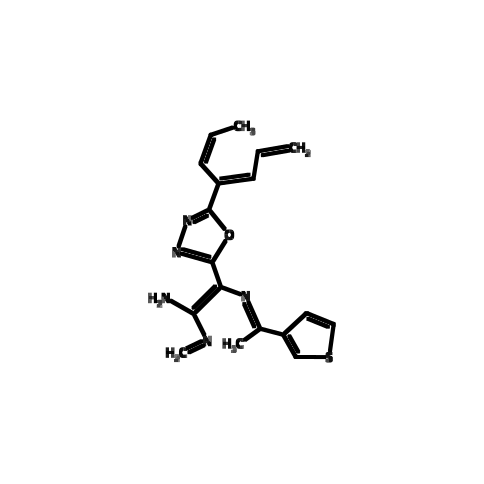 C=C/C=C(\C=C/C)c1nnc(C(/N=C(\C)c2ccsc2)=C(\N)N=C)o1